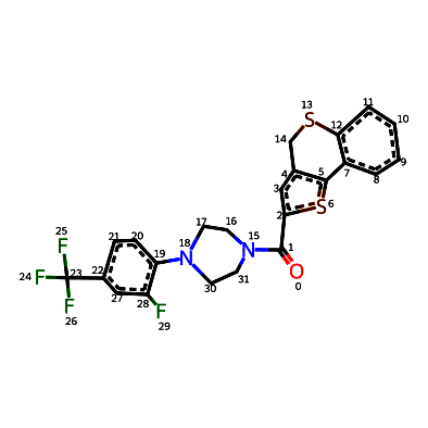 O=C(c1cc2c(s1)-c1ccccc1SC2)N1CCN(c2ccc(C(F)(F)F)cc2F)CC1